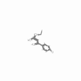 CCO/C(O)=C/C(=O)c1ccc(Cl)cc1